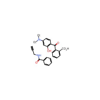 C#CCNC(=O)c1ccccc1.CCN(CC)c1ccc(C(=O)c2ccccc2C(=O)O)c(O)c1